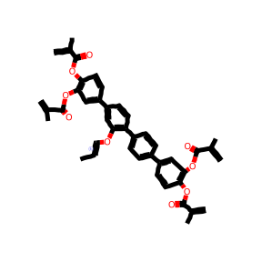 C=C(C)C(=O)Oc1ccc(-c2ccc(-c3ccc(-c4ccc(OC(=O)C(=C)C)c(OC(=O)C(=C)C)c4)cc3O/C=C/C)cc2)cc1OC(=O)C(=C)C